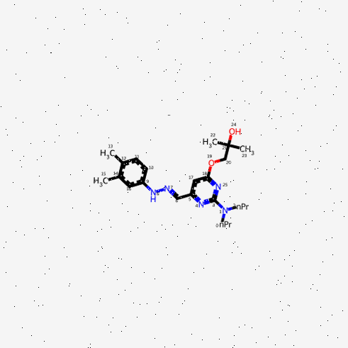 CCCN(CCC)c1nc(/C=N/Nc2ccc(C)c(C)c2)cc(OCC(C)(C)O)n1